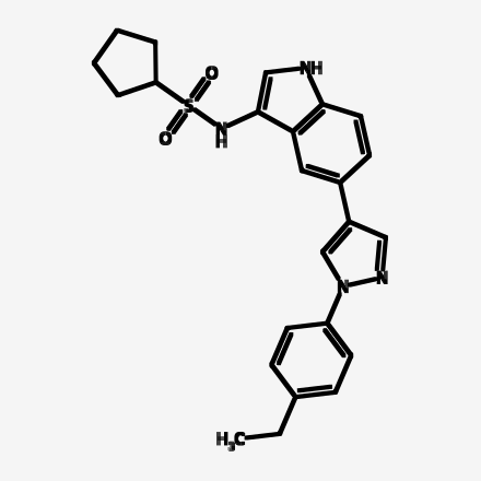 CCc1ccc(-n2cc(-c3ccc4[nH]cc(NS(=O)(=O)C5CCCC5)c4c3)cn2)cc1